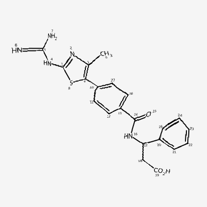 Cc1nc(NC(=N)N)sc1-c1ccc(C(=O)NC(CC(=O)O)c2ccccc2)cc1